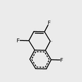 FC1=CC(F)c2cccc(F)c2[CH]1